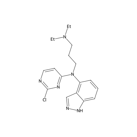 CCN(CC)CCCN(c1ccnc(Cl)n1)c1cccc2[nH]ncc12